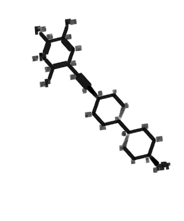 CCC[C@H]1CC[C@H]([C@H]2CC[C@H](C#Cc3cc(F)c(F)nc3F)CC2)CC1